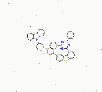 C1=CC2c3ccccc3N(C3=CC4c5ccc(-c6ccc7sc8cccc(C9=NC(c%10ccccc%10)NC(c%10ccccc%10)N9)c8c7c6)cc5SC4C=C3)C2C=C1